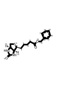 O=C1N[C@H]2[C@H](CS[C@H]2CCCCC(=O)OCc2ccccc2)N1